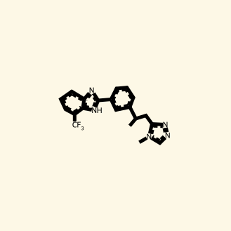 CC(Cc1nncn1C)c1cccc(-c2nc3cccc(C(F)(F)F)c3[nH]2)c1